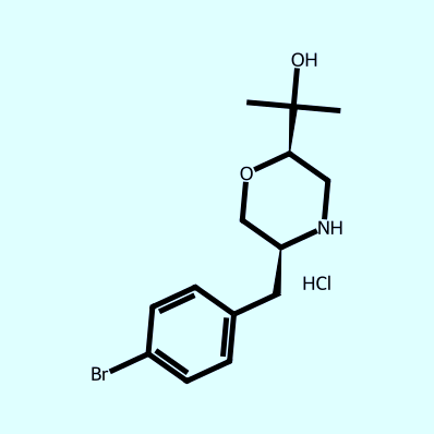 CC(C)(O)[C@H]1CN[C@@H](Cc2ccc(Br)cc2)CO1.Cl